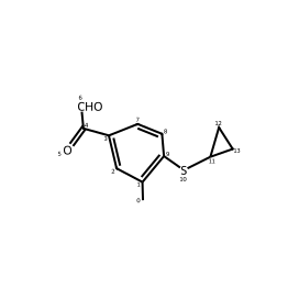 Cc1cc(C(=O)C=O)ccc1SC1CC1